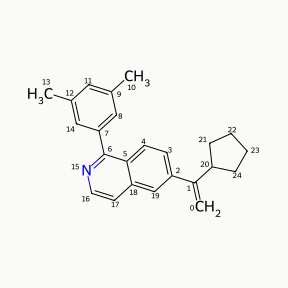 C=C(c1ccc2c(-c3cc(C)cc(C)c3)nccc2c1)C1CCCC1